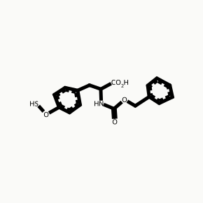 O=C(NC(Cc1ccc(OS)cc1)C(=O)O)OCc1ccccc1